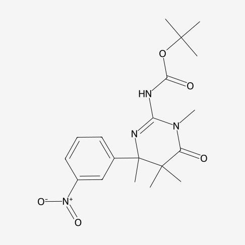 CN1C(=O)C(C)(C)C(C)(c2cccc([N+](=O)[O-])c2)N=C1NC(=O)OC(C)(C)C